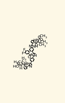 COC(=O)N[C@H](C(=O)n1cccc1-c1nc2ccc(-c3cnc4n3[C@H](c3ccc(F)c(F)c3)Oc3cc(-c5cnc(-c6cccn6C(=O)[C@@H](NC(=O)O)C(C)C)[nH]5)ccc3-4)cc2[nH]1)C(C)C